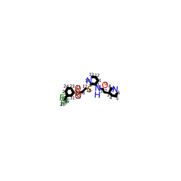 O=C(Cc1cccnc1)Nc1cccnc1SCCS(=O)(=O)c1cccc(C(F)(F)F)c1